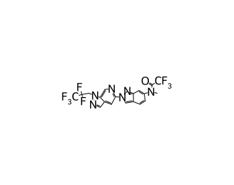 CN(C(=O)C(F)(F)F)c1ccc2cn(-c3cc4cnn(CC(F)(F)C(F)(F)F)c4cn3)nc2c1